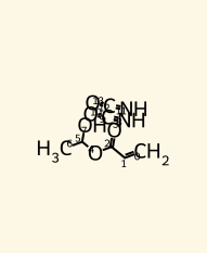 C=CC(=O)OC(C)O.N=C=O.N=C=O